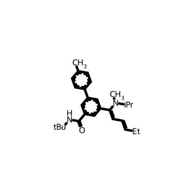 CC/C=C/C=C(/c1cc(C(=O)NC(C)(C)C)cc(-c2ccc(C)cc2)c1)N(C)C(C)C